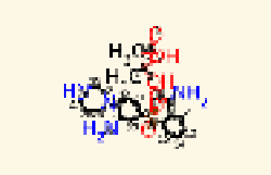 CC(=O)O.CC(=O)O.NC(=O)c1ccccc1S(=O)(=O)c1ccc(N2CCCNCC2)c(N)c1